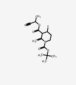 C=C1C(C(=O)OC(C)C#N)C(F)CCN1C(=O)OC(C)(C)C